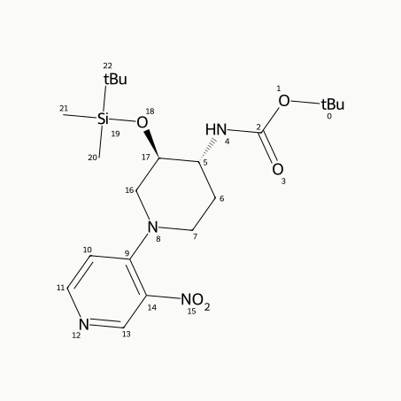 CC(C)(C)OC(=O)N[C@@H]1CCN(c2ccncc2[N+](=O)[O-])C[C@H]1O[Si](C)(C)C(C)(C)C